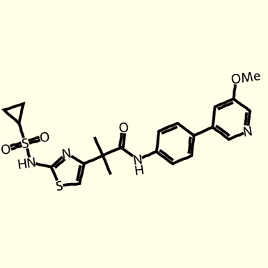 COc1cncc(-c2ccc(NC(=O)C(C)(C)c3csc(NS(=O)(=O)C4CC4)n3)cc2)c1